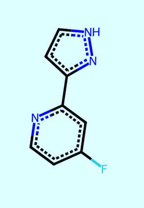 Fc1ccnc(-c2cc[nH]n2)c1